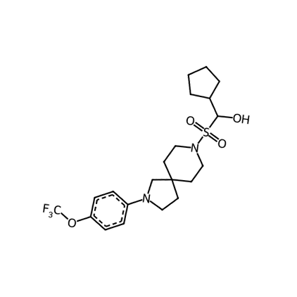 O=S(=O)(C(O)C1CCCC1)N1CCC2(CCN(c3ccc(OC(F)(F)F)cc3)C2)CC1